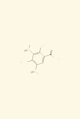 Cc1c(C(=O)O)cc([N+](=O)[O-])c(C)c1[N+](=O)[O-]